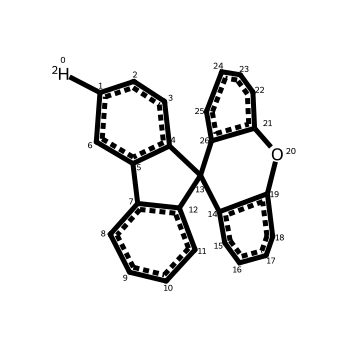 [2H]c1ccc2c(c1)-c1ccccc1C21c2ccccc2Oc2ccccc21